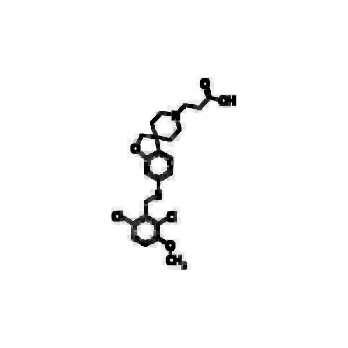 COc1ccc(Cl)c(CSc2ccc3c(c2)OCC32CCN(CCC(=O)O)CC2)c1Cl